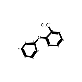 ClC(Cl)(Cl)c1ccccc1Oc1ccccc1